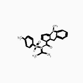 Cc1ccc(S(=O)(=O)N(C(=O)c2cccc3c2Cc2ccccc2N3C)C(C)C)cc1